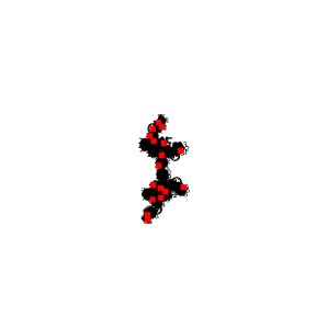 Fc1ccc(C2(c3ccc(Oc4ccc5c(c4)CC5)cc3)c3ccccc3-c3ccc(N(c4ccc(-c5ccc(N(c6ccc7c(c6)C(c6ccc(F)cc6)(c6ccc(Oc8ccc9c(c8)CC9)cc6)c6ccccc6-7)c6ccc7c(c6)oc6ccccc67)cc5)cc4)c4ccc5c(c4)oc4ccccc45)cc32)cc1